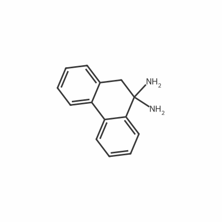 NC1(N)Cc2ccccc2-c2ccccc21